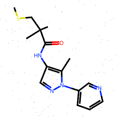 CSCC(C)(C)C(=O)Nc1cnn(-c2cccnc2)c1C